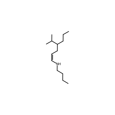 CCCCN/C=C\CC(CCC)C(C)C